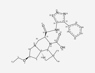 CCO[C@@H]1C[C@@H]2C(C(C)(C)C)N(C(=O)O)[C@H](C(=O)Nc3snnc3-c3ccccc3)CN2C1